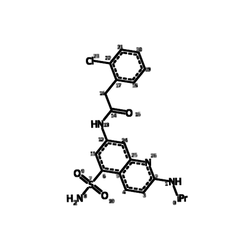 CC(C)Nc1ccc2c(S(N)(=O)=O)cc(NC(=O)Cc3ccccc3Cl)cc2n1